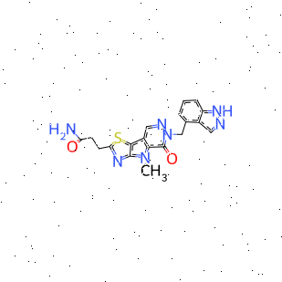 Cn1c2nc(CCC(N)=O)sc2c2cnn(Cc3cccc4[nH]ncc34)c(=O)c21